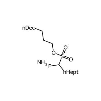 CCCCCCCCCCCCCOS(=O)(=O)C(F)CCCCCCC.N